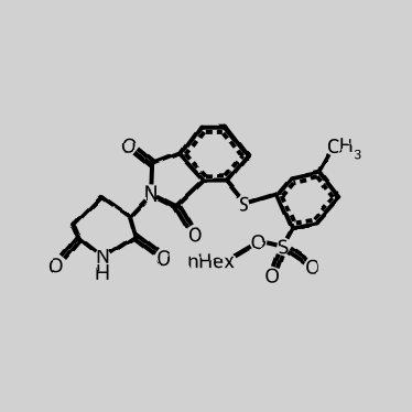 CCCCCCOS(=O)(=O)c1ccc(C)cc1Sc1cccc2c1C(=O)N(C1CCC(=O)NC1=O)C2=O